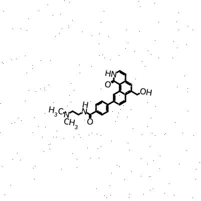 CN(C)CCNC(=O)c1ccc(-c2ccc3c(CO)cc4cc[nH]c(=O)c4c3c2)cc1